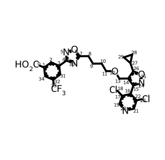 O=C(O)c1cc(-c2noc(CCCCOCc3c(-c4c(Cl)cncc4Cl)noc3C3CC3)n2)cc(C(F)(F)F)c1